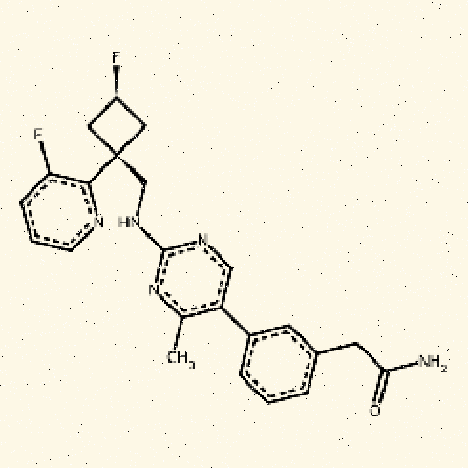 Cc1nc(NC[C@]2(c3ncccc3F)C[C@H](F)C2)ncc1-c1cccc(CC(N)=O)c1